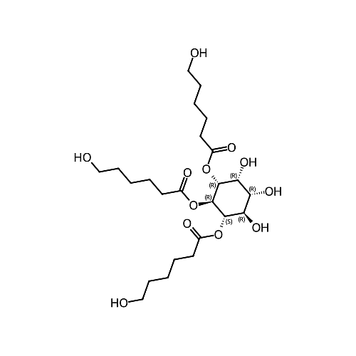 O=C(CCCCCO)O[C@H]1[C@H](OC(=O)CCCCCO)[C@H](O)[C@H](O)[C@@H](O)[C@@H]1OC(=O)CCCCCO